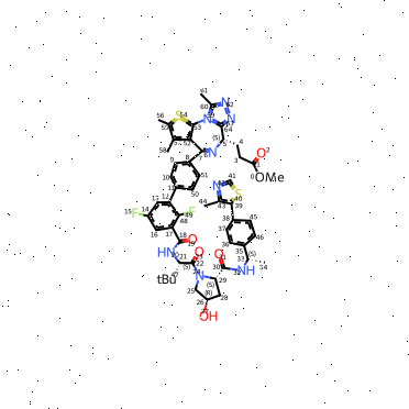 COC(=O)CC[C@@H]1N=C(c2ccc(-c3cc(F)cc(C(=O)N[C@H](C(=O)N4C[C@H](O)C[C@H]4C(=O)N[C@@H](C)c4ccc(-c5scnc5C)cc4)C(C)(C)C)c3F)cc2)c2c(sc(C)c2C)-n2c(C)nnc21